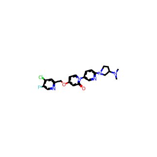 CN(C)C1CCN(c2ccc(-n3ccc(OCc4cc(Cl)c(F)cn4)cc3=O)cn2)C1